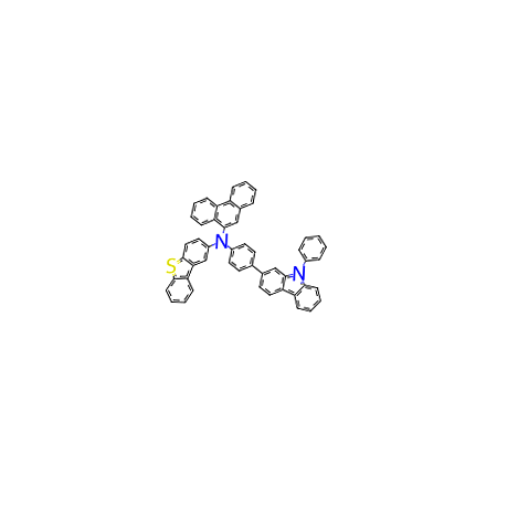 c1ccc(-n2c3ccccc3c3ccc(-c4ccc(N(c5ccc6sc7ccccc7c6c5)c5cc6ccccc6c6ccccc56)cc4)cc32)cc1